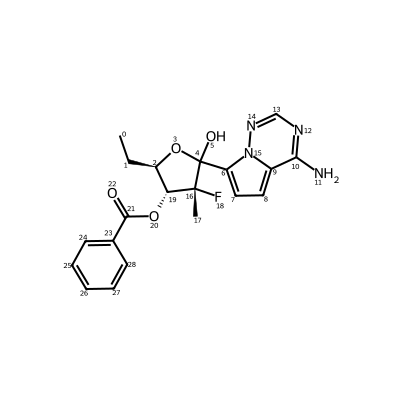 CC[C@H]1OC(O)(c2ccc3c(N)ncnn23)[C@](C)(F)[C@@H]1OC(=O)c1ccccc1